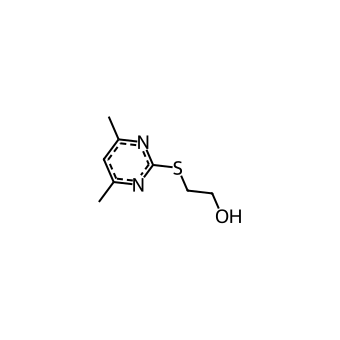 Cc1cc(C)nc(SCCO)n1